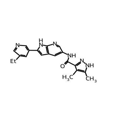 CCc1cncc(-c2cc3cc(NC(=O)c4n[nH]c(C)c4C)cnc3[nH]2)c1